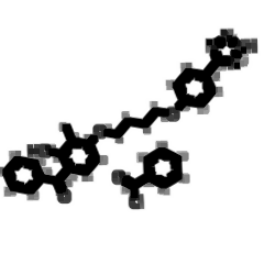 Cc1c(OCCCCOc2ccc(-c3nn[nH]n3)cc2)ccc(C(=O)c2ccccc2)c1O.O=C(Cl)c1ccccc1